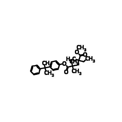 CCC(C)(CC(C)(C)C(=O)Oc1ccc(C(C)(C)c2ccccc2)cc1)C(=O)OC